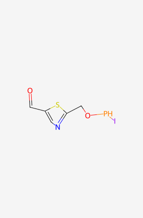 O=Cc1cnc(COPI)s1